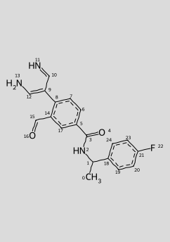 CC(NC(=O)c1ccc(/C(C=N)=C/N)c(C=O)c1)c1ccc(F)cc1